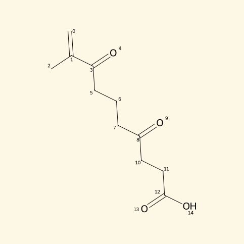 C=C(C)C(=O)CCCC(=O)CCC(=O)O